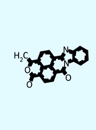 C=c1oc(=O)c2ccc3c(=O)n4c5ccccc5nc4c4ccc1c2c34